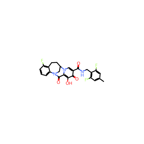 Cc1cc(F)c(CNC(=O)c2cn3c(c(O)c2=O)C(=O)N2CC3CCc3c(F)cccc32)c(F)c1